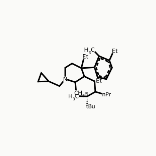 CCCC(CC1C(C)N(CC2CC2)CCC1(CC)c1c(CC)ccc(CC)c1C)[C@@H](C)C(C)(C)C